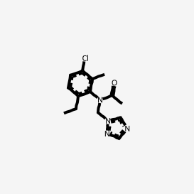 CCc1ccc(Cl)c(C)c1N(Cn1cncn1)C(C)=O